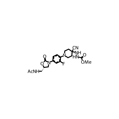 COC(=O)NNC1(C#N)CCN(c2ccc(N3C[C@H](CNC(C)=O)OC3=O)cc2F)CC1